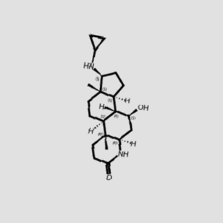 C[C@]12CCC(=O)N[C@@H]1C[C@H](O)[C@@H]1[C@@H]2CC[C@]2(C)[C@@H](NC3CC3)CC[C@@H]12